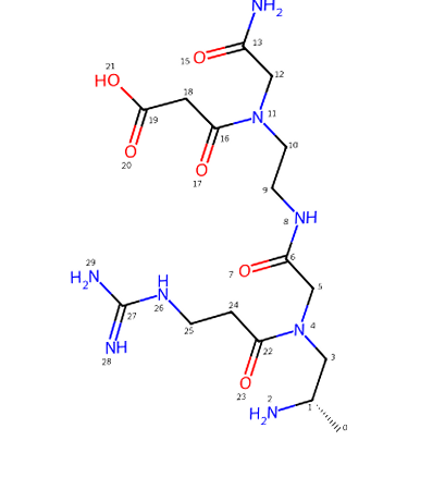 C[C@H](N)CN(CC(=O)NCCN(CC(N)=O)C(=O)CC(=O)O)C(=O)CCNC(=N)N